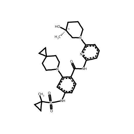 CC1(S(=O)(=O)Nc2ccc(C(=O)Nc3cccc(N4CCC[C@](C)(O)C4)n3)c(N3CCC4(CC3)CC4)c2)CC1